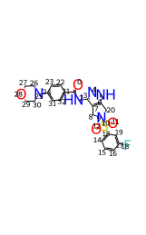 O=C(Nc1n[nH]c2c1CN(S(=O)(=O)c1cccc(F)c1)C2)c1ccc(N2CCOCC2)cc1